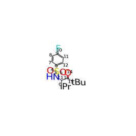 CC(C)C(NS(=O)(=O)c1ccc(F)cc1)C(=O)C(C)(C)C